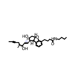 CC#CC[C@H](C)[C@H](O)/C=C/[C@@H]1[C@H]2c3cccc(CCCC(=O)NCCCC)c3O[C@H]2C[C@H]1O